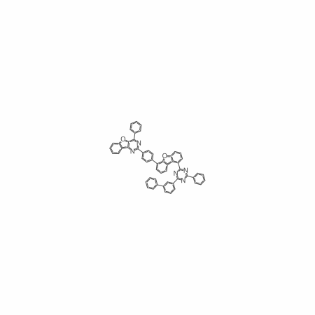 c1ccc(-c2cccc(-c3nc(-c4ccccc4)nc(-c4cccc5oc6c(-c7ccc(-c8nc(-c9ccccc9)c9oc%10ccccc%10c9n8)cc7)cccc6c45)n3)c2)cc1